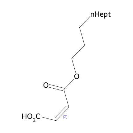 CCCCCCCCCCOC(=O)/C=C\C(=O)O